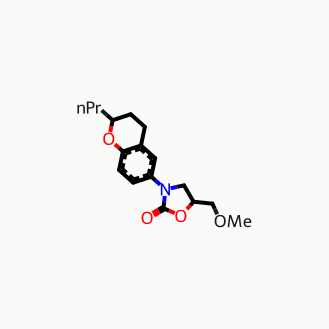 CCCC1CCc2cc(N3CC(COC)OC3=O)ccc2O1